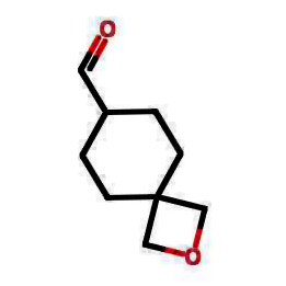 O=CC1CCC2(CC1)COC2